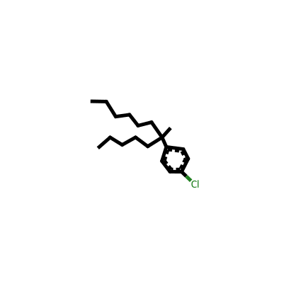 CCCCCCC(C)(CCCCC)c1ccc(Cl)cc1